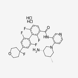 C[C@@H]1C[C@H](N)CN(c2ccncc2NC(=O)c2ccc(F)c(-c3c(F)cc(C4(F)CCOCC4)cc3F)c2F)C1.Cl.Cl